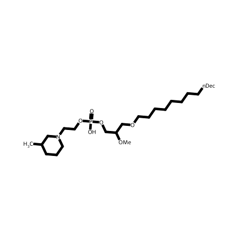 CCCCCCCCCCCCCCCCCCOCC(COP(=O)(O)OCCN1CCCC(C)C1)OC